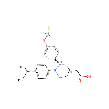 CC(C)c1ccc(N2CC[C@H](CC(=O)O)C[C@@H]2C2C=CC(OC(F)(F)F)=CC2)cc1